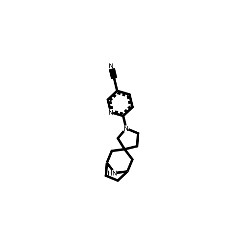 N#Cc1ccc(N2CCC3(CC4CCC(C3)N4)C2)nc1